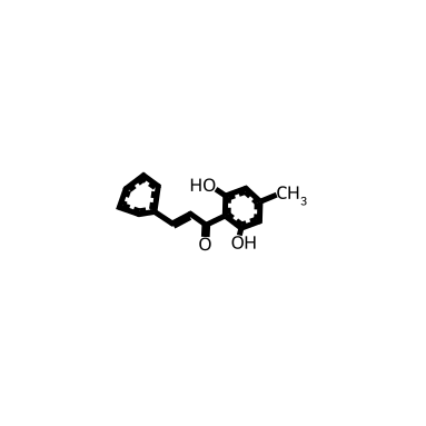 Cc1cc(O)c(C(=O)C=Cc2ccccc2)c(O)c1